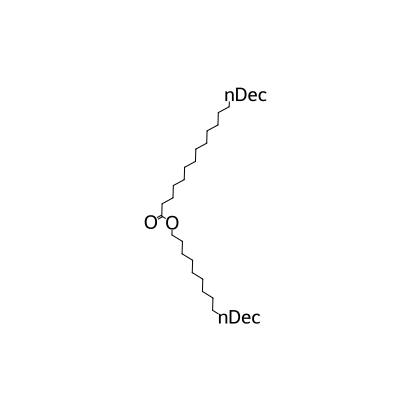 CCCCCCCCCCCCCCCCCCCCCCC(=O)OCCCCCCCCCCCCCCCCCCC